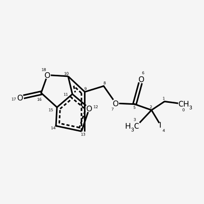 CCC(C)(I)C(=O)OCc1c2c3oc1cc3C(=O)O2